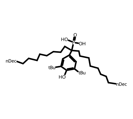 CCCCCCCCCCCCCCCCCCC(CCCCCCCCCCCCCCCCCC)(c1cc(C(C)(C)C)c(O)c(C(C)(C)C)c1)P(=O)(O)O